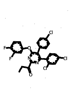 CCC(=O)c1nc(Oc2ccc(F)c(F)c2)c(-c2ccc(Cl)cc2)c(-c2ccc(Cl)cc2Cl)n1